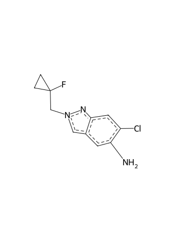 Nc1cc2cn(CC3(F)CC3)nc2cc1Cl